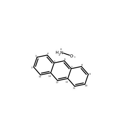 N[O].c1ccc2cc3ccccc3cc2c1